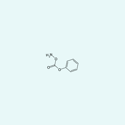 NOC(=O)Oc1ccccc1